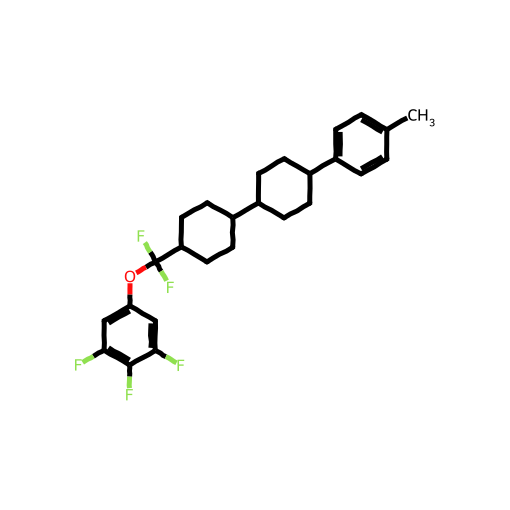 Cc1ccc(C2CCC(C3CCC(C(F)(F)Oc4cc(F)c(F)c(F)c4)CC3)CC2)cc1